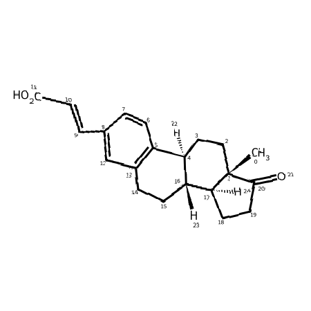 C[C@]12CC[C@@H]3c4ccc(C=CC(=O)O)cc4CC[C@H]3[C@@H]1CCC2=O